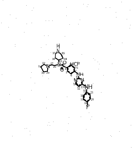 Cl.O=S(=O)(c1ccc(Nc2nccc(Nc3ccc(F)cc3)n2)cc1)N(CCN1CCCC1)C1CCNCC1